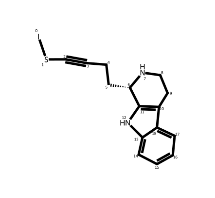 ISC#CCC[C@@H]1NCCc2c1[nH]c1ccccc21